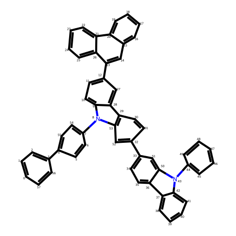 c1ccc(-c2ccc(-n3c4ccc(-c5cc6ccccc6c6ccccc56)cc4c4ccc(-c5ccc6c7ccccc7n(-c7ccccc7)c6c5)cc43)cc2)cc1